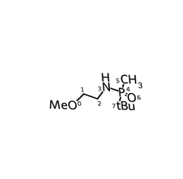 COCCNP(C)(=O)C(C)(C)C